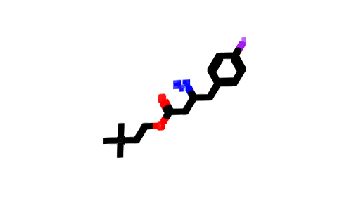 C[Si](C)(C)CCOC(=O)CC(N)Cc1ccc(I)cc1